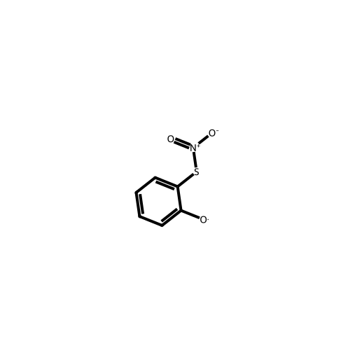 [O]c1ccccc1S[N+](=O)[O-]